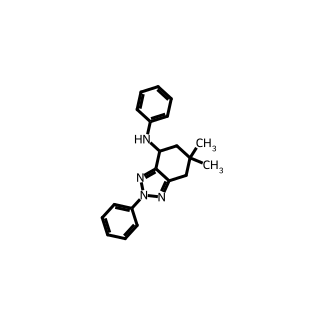 CC1(C)Cc2nn(-c3ccccc3)nc2C(Nc2ccccc2)C1